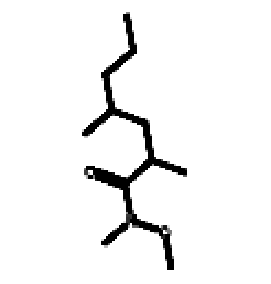 CCCC(C)CC(C)C(=O)N(C)OC